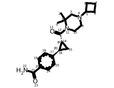 CC1(C)CN(C2CCC2)CCN1C(=O)[C@@H]1C[C@H]1c1ccc(C(N)=O)cc1